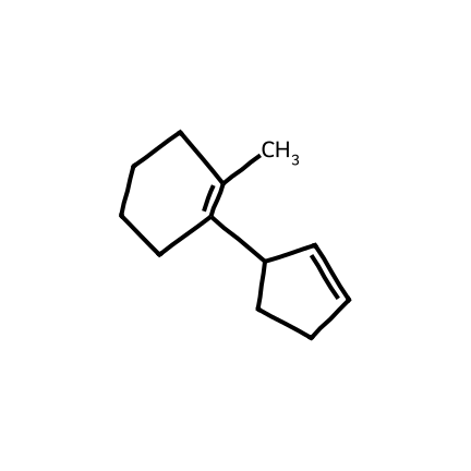 CC1=C(C2C=CCC2)CCCC1